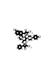 O=C(C(Cn1nc(C(F)(F)F)c(Cl)c1-c1ccccc1)N1CCN(c2ccc(Cl)cc2)CC1)C(Cn1nc(C(F)(F)F)c(Cl)c1-c1ccccc1)N1CCN(c2ccc(Cl)cc2)CC1